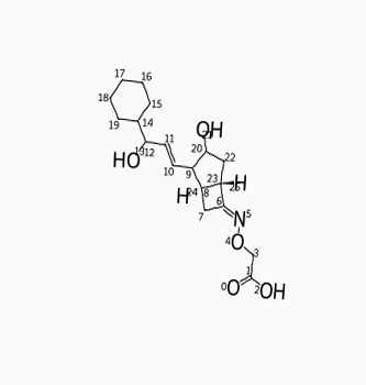 O=C(O)CON=C1C[C@H]2C(C=CC(O)C3CCCCC3)C(O)C[C@H]12